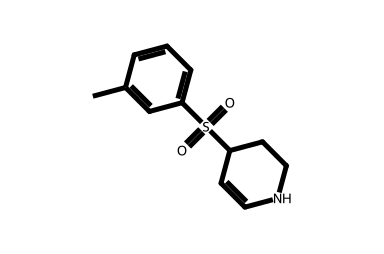 Cc1cccc(S(=O)(=O)C2C=CNCC2)c1